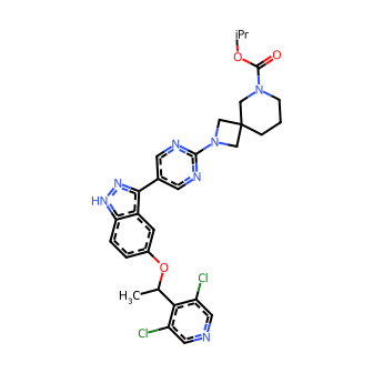 CC(C)OC(=O)N1CCCC2(C1)CN(c1ncc(-c3n[nH]c4ccc(OC(C)c5c(Cl)cncc5Cl)cc34)cn1)C2